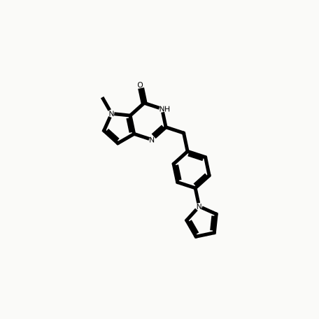 Cn1ccc2nc(Cc3ccc(-n4cccc4)cc3)[nH]c(=O)c21